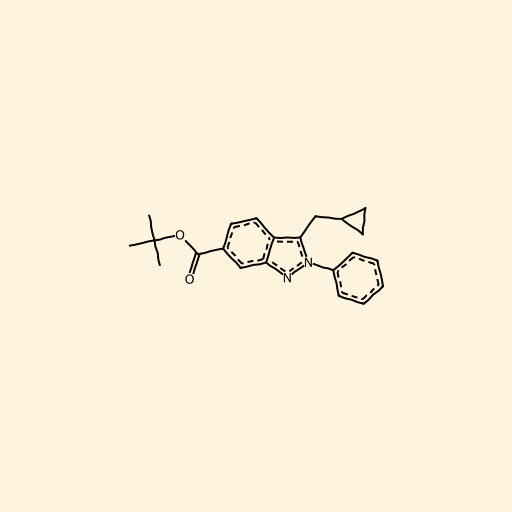 CC(C)(C)OC(=O)c1ccc2c(CC3CC3)n(-c3ccccc3)nc2c1